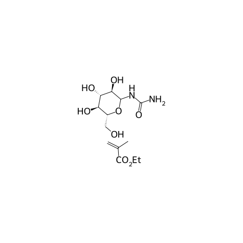 C=C(C)C(=O)OCC.NC(=O)NC1O[C@H](CO)[C@@H](O)[C@H](O)[C@H]1O